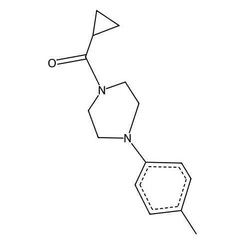 Cc1ccc(N2CCN(C(=O)C3CC3)CC2)cc1